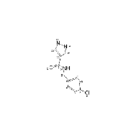 O=C(NCc1ccc(Cl)cc1)C1=C[N]N=C1